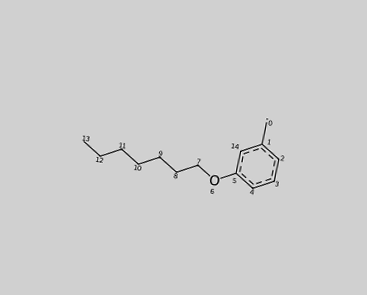 [CH2]c1cccc(OCCCCCCC)c1